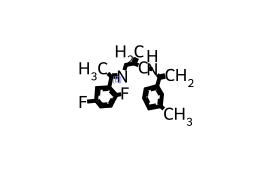 C=C(C/N=C(\C)c1cc(F)ccc1F)CNC(=C)c1cccc(C)c1